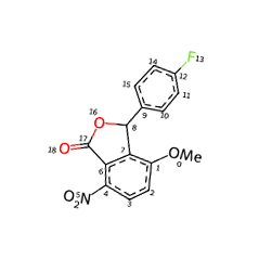 COc1ccc([N+](=O)[O-])c2c1C(c1ccc(F)cc1)OC2=O